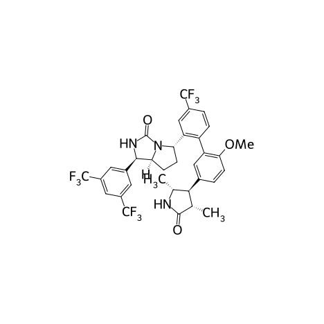 COc1ccc([C@H]2[C@H](C)C(=O)N[C@@H]2C)cc1-c1ccc(C(F)(F)F)cc1[C@@H]1CC[C@H]2[C@@H](c3cc(C(F)(F)F)cc(C(F)(F)F)c3)NC(=O)N12